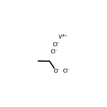 CC[O-].[Cl-].[Cl-].[Cl-].[V+4]